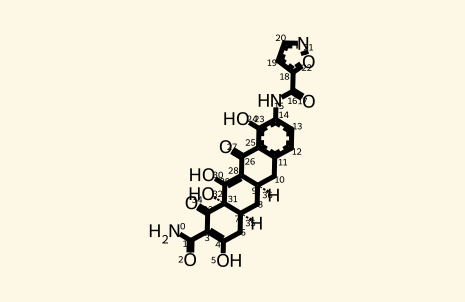 NC(=O)C1=C(O)C[C@@H]2C[C@@H]3Cc4ccc(NC(=O)c5ccno5)c(O)c4C(=O)C3=C(O)[C@]2(O)C1=O